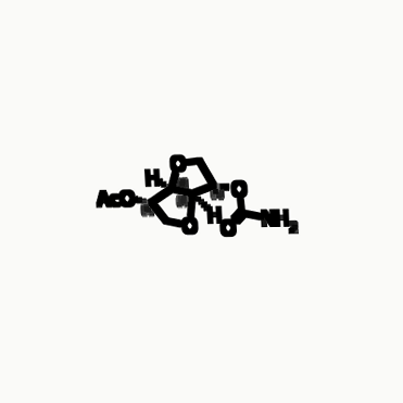 CC(=O)O[C@H]1CO[C@H]2[C@@H]1OC[C@@H]2OC(N)=O